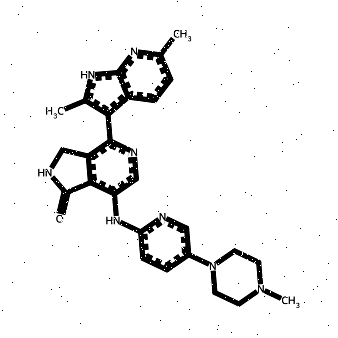 Cc1ccc2c(-c3ncc(Nc4ccc(N5CCN(C)CC5)cn4)c4c3CNC4=O)c(C)[nH]c2n1